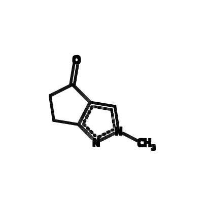 Cn1cc2c(n1)CCC2=O